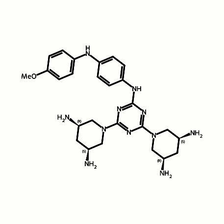 COc1ccc(Nc2ccc(Nc3nc(N4C[C@H](N)C[C@H](N)C4)nc(N4C[C@H](N)C[C@H](N)C4)n3)cc2)cc1